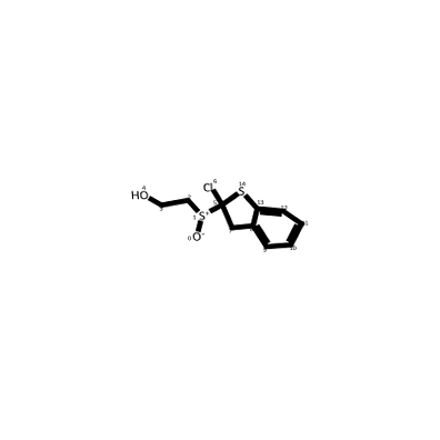 [O-][S+](CCO)C1(Cl)Cc2ccccc2S1